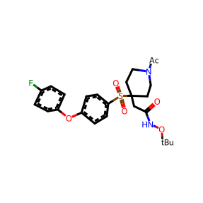 CC(=O)N1CCC(CC(=O)NOC(C)(C)C)(S(=O)(=O)c2ccc(Oc3ccc(F)cc3)cc2)CC1